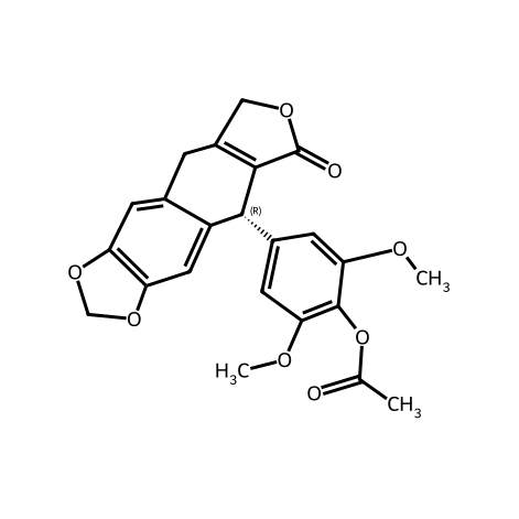 COc1cc([C@H]2C3=C(COC3=O)Cc3cc4c(cc32)OCO4)cc(OC)c1OC(C)=O